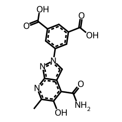 Cc1nc2nn(-c3cc(C(=O)O)cc(C(=O)O)c3)cc2c(C(N)=O)c1O